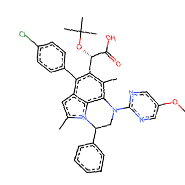 COc1cnc(N2CC(c3ccccc3)n3c(C)cc4c(-c5ccc(Cl)cc5)c([C@H](OC(C)(C)C)C(=O)O)c(C)c2c43)nc1